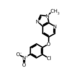 Cn1cnc2cc(Oc3ccc([N+](=O)[O-])cc3Cl)cnc21